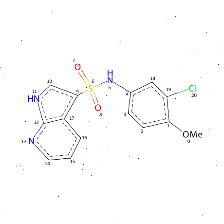 COc1ccc(NS(=O)(=O)c2c[nH]c3ncccc23)cc1Cl